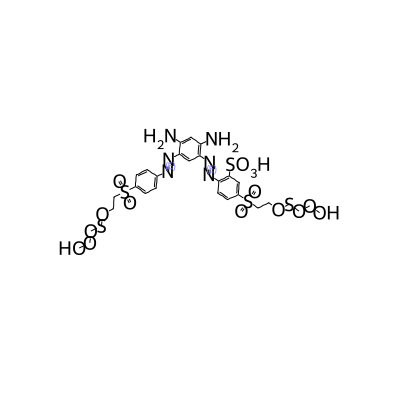 Nc1cc(N)c(/N=N/c2ccc(S(=O)(=O)CCOSOOO)cc2S(=O)(=O)O)cc1/N=N/c1ccc(S(=O)(=O)CCOSOOO)cc1